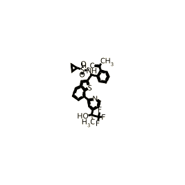 C=C(C)c1ccccc1C(NS(=O)(=O)C1CC1)c1cc2cccc(-c3cc([C@](C)(O)C(F)(F)F)ccn3)c2s1